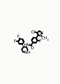 Cn1ncc(Cl)c1-c1ccc(C(=O)N[C@@H]2CNCC[C@H]2c2ccc(F)c(F)c2)cc1F